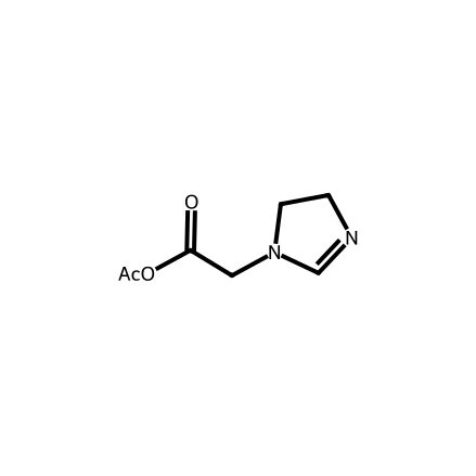 CC(=O)OC(=O)CN1C=NCC1